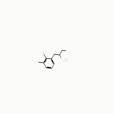 NC(CO)Cc1cccc(Cl)c1Cl